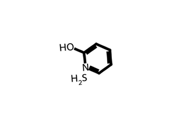 Oc1ccccn1.S